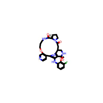 COc1c(F)cccc1Nc1c2[nH]c3c1C(=O)NCC3CC(=O)N1CCC[C@H]1C(=O)NCCCOc1cnccc1-2